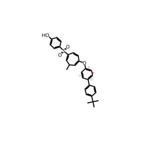 C\C=C(/C=C\C(=C/C)c1ccc(C(C)(C)C)cc1)OC1=CC(C)C=C(S(=O)(=O)c2ccc(O)cc2)C=C1